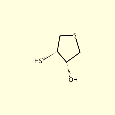 O[C@H]1CSC[C@H]1S